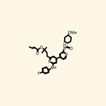 C/C=C/C(=O)OC(C)(C)CCc1cc(-c2ccnc(NC(=O)[C@H]3CC[C@@H](OC)CC3)c2)cc(Nc2ccc(F)cc2)n1